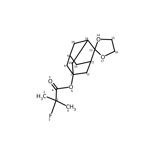 CC(C)(F)C(=O)OC12CC3CC(C1)C1(OCCO1)C(C3)C2